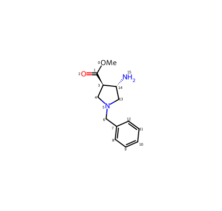 COC(=O)[C@@H]1CN(Cc2ccccc2)C[C@H]1N